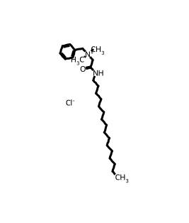 CCCCCCCCCCCCCCCCNC(=O)C[N+](C)(C)Cc1ccccc1.[Cl-]